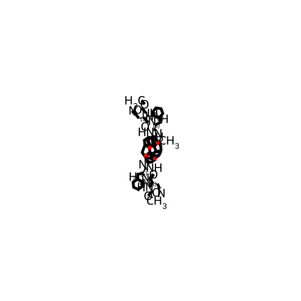 COC(=O)N[C@@H](CC#N)C(=O)N1[C@H](c2nc3cc(-c4cc5ccc4CCc4ccc(c(-c6ccc7[nH]c([C@@H]8C[C@@H]9CCCC[C@@H]9N8C(=O)[C@H](CC#N)NC(=O)OC)nc7c6)c4)C[C@H]5C)ccc3[nH]2)C[C@@H]2CCCC[C@@H]21